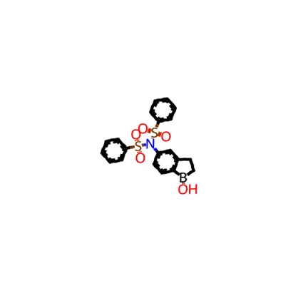 O=S(=O)(c1ccccc1)N(c1ccc2c(c1)CCB2O)S(=O)(=O)c1ccccc1